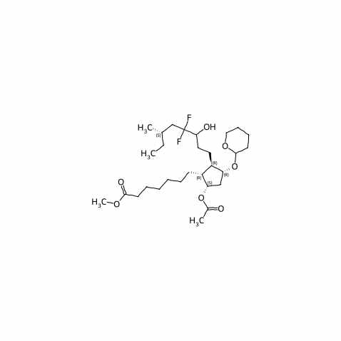 CC[C@H](C)CC(F)(F)C(O)CC[C@@H]1[C@@H](CCCCCCC(=O)OC)[C@@H](OC(C)=O)C[C@H]1OC1CCCCO1